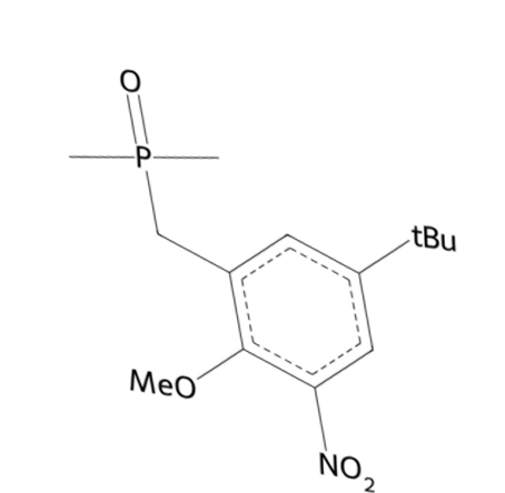 COc1c(CP(C)(C)=O)cc(C(C)(C)C)cc1[N+](=O)[O-]